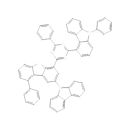 c1ccc(-c2nc(-c3cc(-n4c5ccccc5c5ccccc54)cc4c3oc3cccc(-c5ccccc5)c34)nc(-c3cccc4c3c3ccccc3n4-c3ccccc3)n2)cc1